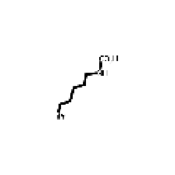 CC(C)CCCCCNC(=O)O